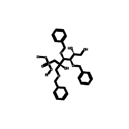 CCOP(=O)(C[C@@](O)(COCC1C=CC=CC1)[C@@H](OCc1ccccc1)[C@H](OCc1ccccc1)[C@H](O)CO)OCC